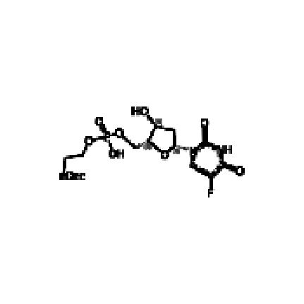 CCCCCCCCCCCCOP(=O)(O)OC[C@H]1O[C@@H](n2cc(F)c(=O)[nH]c2=O)C[C@@H]1O